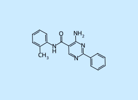 Cc1ccccc1NC(=O)c1cnc(-c2ccccc2)nc1N